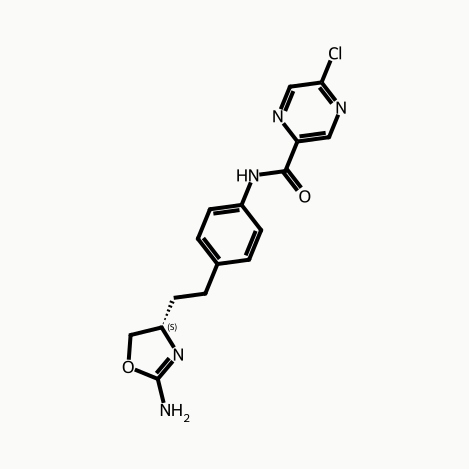 NC1=N[C@@H](CCc2ccc(NC(=O)c3cnc(Cl)cn3)cc2)CO1